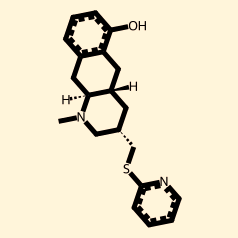 CN1C[C@@H](CSc2ccccn2)C[C@H]2Cc3c(O)cccc3C[C@@H]21